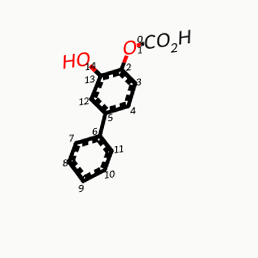 O=C(O)Oc1ccc(-c2ccccc2)cc1O